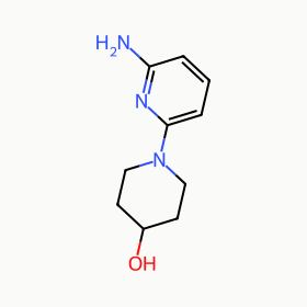 Nc1cccc(N2CCC(O)CC2)n1